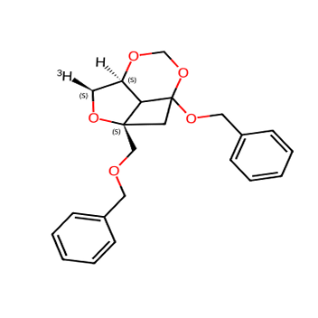 [3H][C@@H]1O[C@@]2(COCc3ccccc3)CC3(OCc4ccccc4)OCO[C@H]1C32